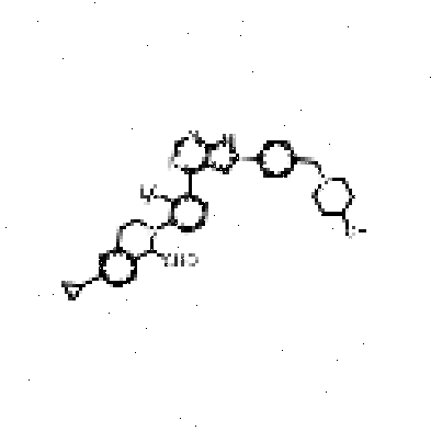 Cc1c(-c2ncnc3[nH]c(-c4ccc(CN5CCC(O)CC5)cc4)cc23)cccc1N1CCc2cc(C3CC3)ccc2C1C=O